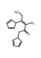 CCC(=C(C)C(=O)OC1C=CC=C1)C1C=CC=C1